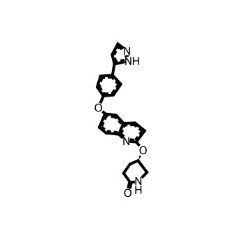 O=C1CC[C@H](Oc2ccc3cc(Oc4ccc(-c5ccn[nH]5)cc4)ccc3n2)CN1